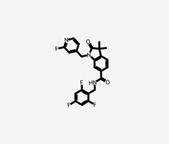 CC1(C)C(=O)N(Cc2ccnc(F)c2)c2cc(C(=O)NCc3c(F)cc(F)cc3F)ccc21